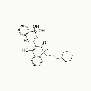 CC1(CCCC2CCCCC2)C(=O)C(C2=NS(O)(O)c3ccccc3N2)=C(O)c2ccccc21